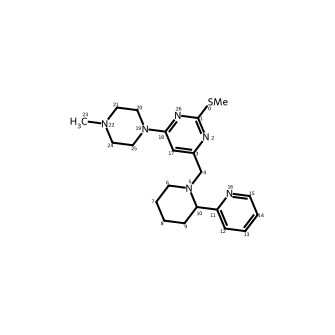 CSc1nc(CN2CCCCC2c2ccccn2)cc(N2CCN(C)CC2)n1